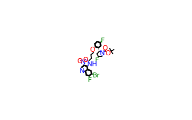 CC(C)(C)OC(=O)N1C[C@@H](F)C[C@@H]1c1cc(F)ccc1OCCCCNc1c([N+](=O)[O-])cnc2cc(F)c(Br)cc12